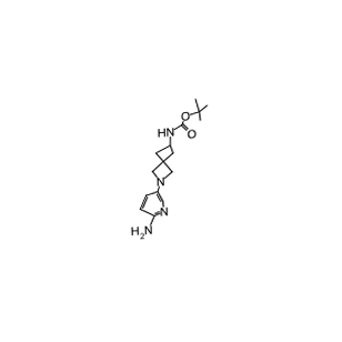 CC(C)(C)OC(=O)NC1CC2(C1)CN(c1ccc(N)nc1)C2